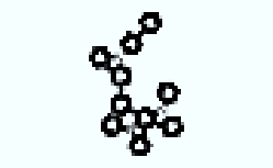 c1ccc(-c2ccc(-n3c4ccccc4c4cc(-c5cccc(-c6cc7c(c8ccccc8n7-c7ccccc7)c7c8ccccc8n(-c8ccccc8)c67)c5)ccc43)cc2)cc1